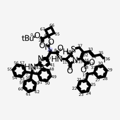 CC(C)(C)OC(=O)C1(O/N=C(\C(=O)NC2C(=O)N3C(C(=O)OC(c4ccccc4)c4ccccc4)=C(C=CCI)CS[C@@H]23)c2csc(NC(c3ccccc3)(c3ccccc3)c3ccccc3)n2)CCC1